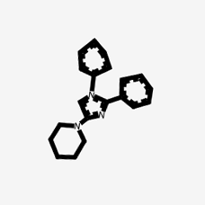 c1ccc(-c2nc(N3CCCCC3)cn2-c2ccccc2)cc1